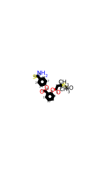 CC(C)(CC(=O)Oc1ccccc1C(=O)Oc1ccc(C(N)=S)cc1)SN=O